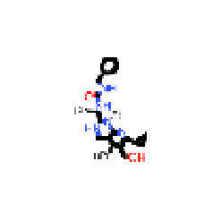 CCCc1c(C=N)c(N(CC)C[C@H](NC(=O)NCC2C=CC=CC2)C(C)C)nc(C2CC2)c1CO